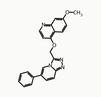 COc1ccc2c(OCc3nnc4ccc(-c5ccccc5)cn34)ccnc2c1